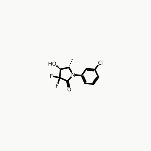 C[C@H]1[C@H](O)C(F)(F)C(=O)N1c1cccc(Cl)c1